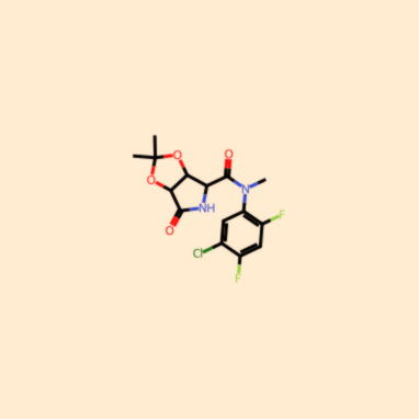 CN(C(=O)C1NC(=O)C2OC(C)(C)OC12)c1cc(Cl)c(F)cc1F